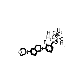 C[SiH](OCc1cccc(N2CCc3cc(N4CCOCC4)ccc3C2)c1F)C(C)(C)C